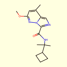 COc1cc(C)c2cnc(C(=O)NC(C)(C)C3CCC3)n2n1